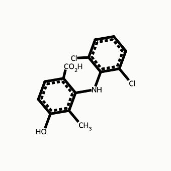 Cc1c(O)ccc(C(=O)O)c1Nc1c(Cl)cccc1Cl